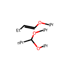 CCC=COC(C)C.CCCC(OC(C)C)OC(C)C